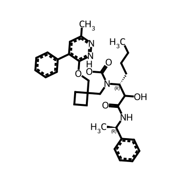 CCCC[C@H](C(O)C(=O)N[C@H](C)c1ccccc1)N(CC1(COc2nnc(C)cc2-c2ccccc2)CCC1)C(=O)O